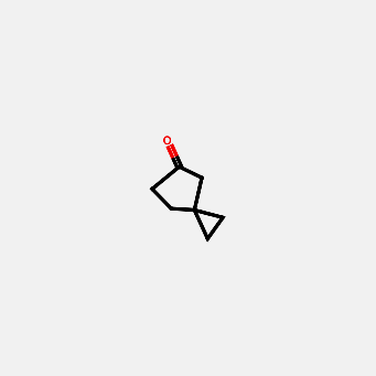 O=C1CCC2(CC2)C1